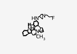 C[C@@H]1Cc2c([nH]c3ccccc23)[C@H]2c3c(F)cc(NC4CN(CCCF)C4)cc3C3C4CCC3(C4)N21